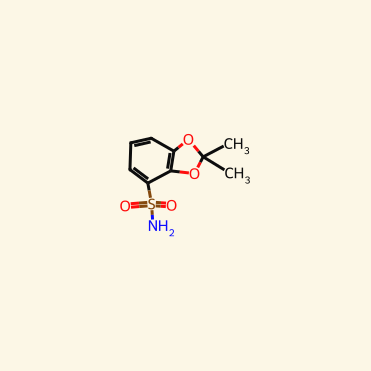 CC1(C)Oc2cccc(S(N)(=O)=O)c2O1